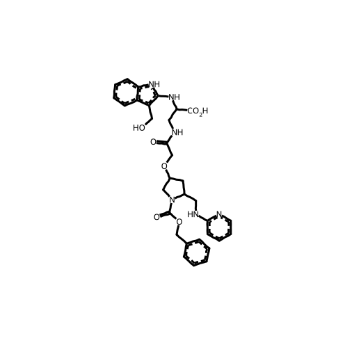 O=C(COC1CC(CNc2ccccn2)N(C(=O)OCc2ccccc2)C1)NCC(Nc1[nH]c2ccccc2c1CO)C(=O)O